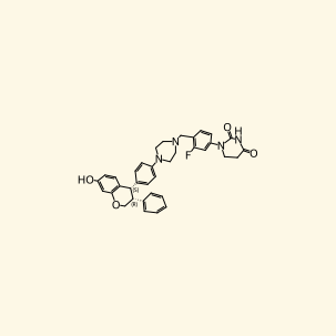 O=C1CCN(c2ccc(CN3CCN(c4ccc([C@H]5c6ccc(O)cc6OC[C@H]5c5ccccc5)cc4)CC3)c(F)c2)C(=O)N1